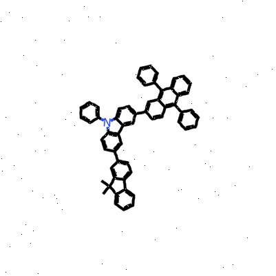 CC1(C)c2ccccc2-c2ccc(-c3ccc4c(c3)c3cc(-c5ccc6c(-c7ccccc7)c7ccccc7c(-c7ccccc7)c6c5)ccc3n4-c3ccccc3)cc21